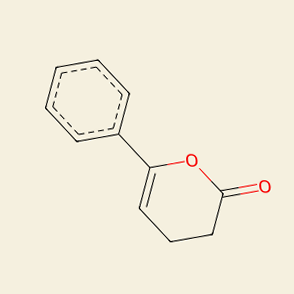 O=C1CCC=C(c2ccccc2)O1